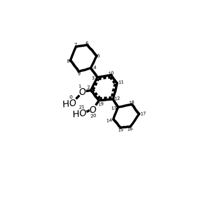 OOc1c(C2CCCCC2)ccc(C2CCCCC2)c1OO